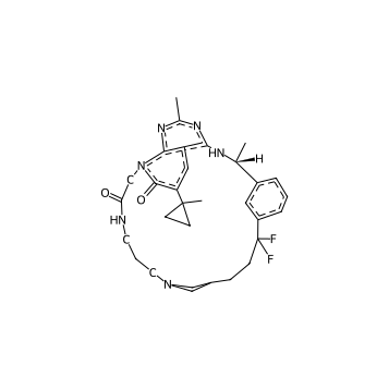 Cc1nc2c3cc(C4(C)CC4)c(=O)n(c3n1)CC(=O)NCCCN1CC(CCC(F)(F)c3cccc(c3)[C@@H](C)N2)C1